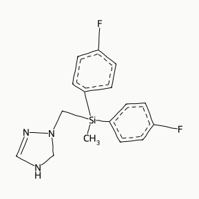 C[Si](CN1CNC=N1)(c1ccc(F)cc1)c1ccc(F)cc1